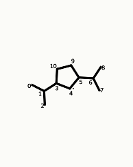 CC(C)C1[CH]C(C(C)C)CC1